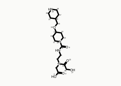 O=C(O)CN(CCNC(=O)N1CCC(OCC2CCNCC2)CC1)C(=O)CO